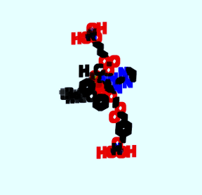 COc1ccccc1Oc1c(OCCOC(=O)Cc2ccc(CON(O)O)cc2)nc(-c2ncccn2)nc1N(C(C)OC(=O)OCCCCON(O)O)S(=O)(=O)c1ccc(C(C)(C)C)cc1